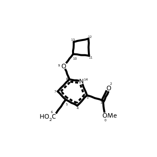 COC(=O)c1cc(C(=O)O)cc(OC2CCC2)n1